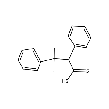 CC(C)(c1ccccc1)C(C(=S)S)c1ccccc1